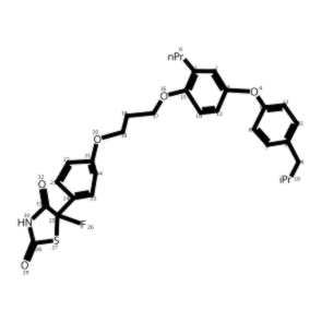 CCCc1cc(Oc2ccc(CC(C)C)cc2)ccc1OCCCOc1ccc(C2(F)SC(=O)NC2=O)cc1